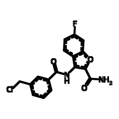 NC(=O)c1oc2cc(F)ccc2c1NC(=O)c1cccc(CCl)c1